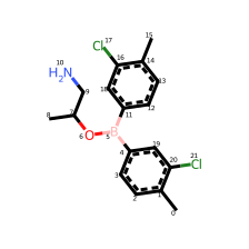 Cc1ccc(B(OC(C)CN)c2ccc(C)c(Cl)c2)cc1Cl